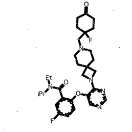 CCN(C(=O)c1cc(F)ccc1Oc1cncnc1N1CC2(CCN(CC3(F)CCC(=O)CC3)CC2)C1)C(C)C